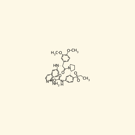 CCS(=O)(=O)c1ccc(NC(=O)O)cc1[C@H]1CCCN1C(=O)[C@H](Nc1ccc2c(N)nccc2c1)c1ccc(OC)c(OC)c1